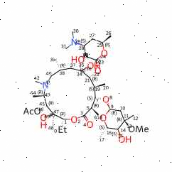 CC[C@H]1OC(=O)[C@H](C)[C@@H](O[C@H]2C[C@@](C)(OC)[C@@H](O)[C@H](C)O2)[C@H](C)[C@@H](O[C@@H]2O[C@H](C)C[C@H](N(C)C)[C@H]2O)[C@](C)(O)C[C@@H](C)CN(C)[C@H](C)[C@@H](OC(C)=O)[C@]1(C)O